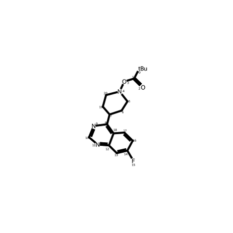 CC(C)(C)C(=O)ON1CCC(c2ncnc3cc(F)ccc23)CC1